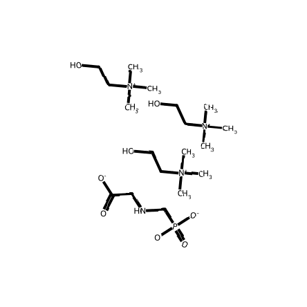 C[N+](C)(C)CCO.C[N+](C)(C)CCO.C[N+](C)(C)CCO.O=C([O-])CNCP(=O)([O-])[O-]